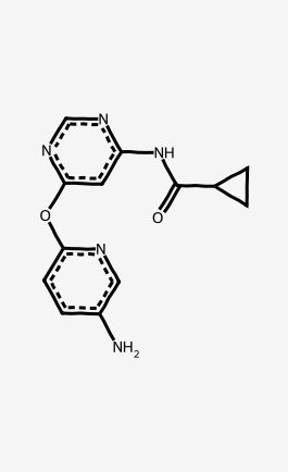 Nc1ccc(Oc2cc(NC(=O)C3CC3)ncn2)nc1